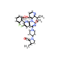 C=C1CCN(C2CCN(c3nc(=O)n(-c4c(C)ccnc4C(C)C)c4nc(-c5c(O)cccc5F)c(F)cc34)CC2)C1=C=O